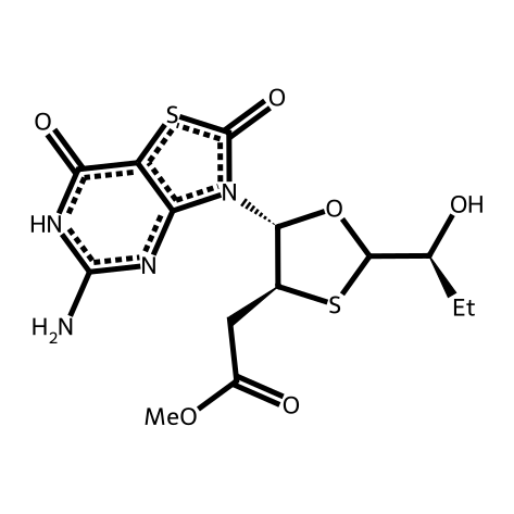 CC[C@H](O)C1O[C@@H](n2c(=O)sc3c(=O)[nH]c(N)nc32)[C@H](CC(=O)OC)S1